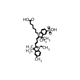 CC[N+]1=C(/C=C/C=C2/N(CCCCCC(=O)O)c3ccc(S(=O)(=O)O)cc3C2(C)C)C(C)(C)c2cc(C)ccc21